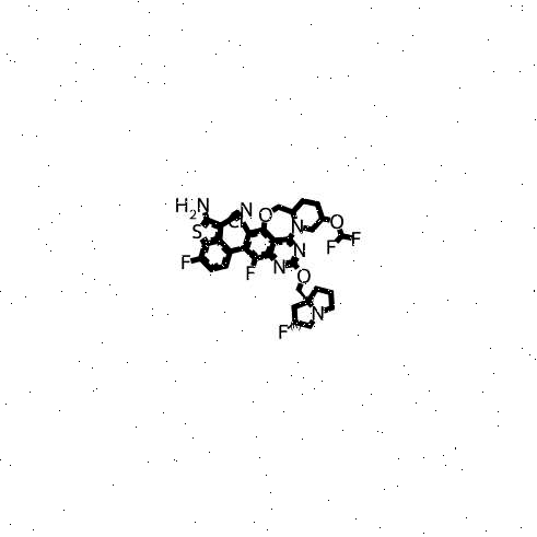 N#Cc1c(N)sc2c(F)ccc(-c3c(Cl)c4c5c(nc(OC[C@@]67CCCN6C[C@H](F)C7)nc5c3F)N3CC(OC(F)F)CCC3CO4)c12